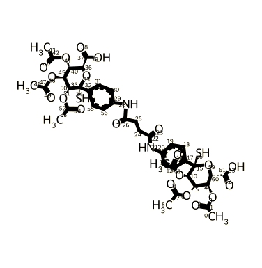 CC(=O)O[C@H]1[C@H](OC(C)=O)[C@@H](OC(C)=O)[C@](S)(c2ccc(NC(=O)CCC(=O)Nc3ccc([C@]4(S)O[C@H](C(=O)O)[C@@H](OC(C)=O)[C@H](OC(C)=O)[C@H]4OC(C)=O)cc3)cc2)O[C@@H]1C(=O)O